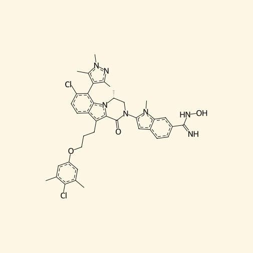 Cc1cc(OCCCc2c3n(c4c(-c5c(C)nn(C)c5C)c(Cl)ccc24)[C@H](C)CN(c2cc4ccc(C(=N)NO)cc4n2C)C3=O)cc(C)c1Cl